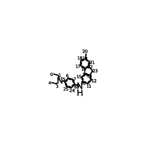 CCN(CC)c1ccc(Nc2ccc3c(c2)-c2ccc(C)cc2C3)cc1